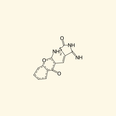 N=C1NC(=O)SC1=Cc1c(N)oc2ccccc2c1=O